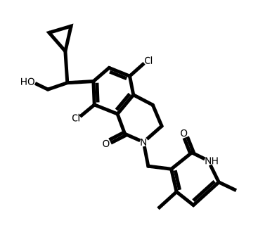 Cc1cc(C)c(CN2CCc3c(Cl)cc(C(CO)C4CC4)c(Cl)c3C2=O)c(=O)[nH]1